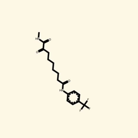 CNC(=O)C(=O)CCCCCCC(=O)Nc1ccc(C(F)(F)F)cc1